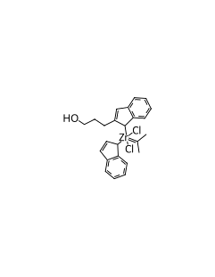 C[C](C)=[Zr]([Cl])([Cl])([CH]1C=Cc2ccccc21)[CH]1C(CCCO)=Cc2ccccc21